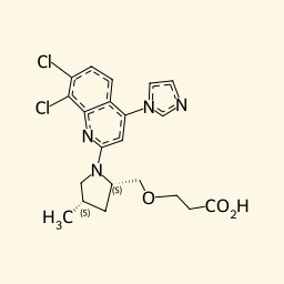 C[C@H]1C[C@@H](COCCC(=O)O)N(c2cc(-n3ccnc3)c3ccc(Cl)c(Cl)c3n2)C1